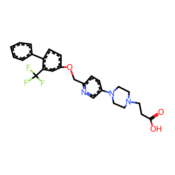 O=C(O)CCN1CCN(c2ccc(COc3ccc(-c4ccccc4)c(C(F)(F)F)c3)nc2)CC1